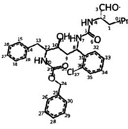 CC(C)C[C@@H]([C]=O)NC(=O)NC(CC(O)C(Cc1ccccc1)NC(=O)OCc1ccccc1)c1ccccc1Cl